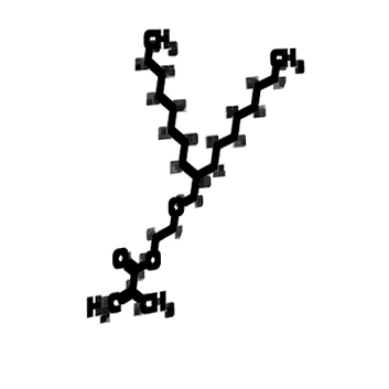 C=C(C)C(=O)OCCOCC(CCCCCCCC)CCCCCCCC